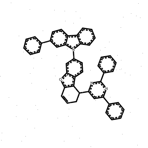 C1=Cc2oc3cc(-n4c5ccccc5c5ccc(-c6ccccc6)cc54)ccc3c2C(c2cc(-c3ccccc3)nc(-c3ccccc3)n2)C1